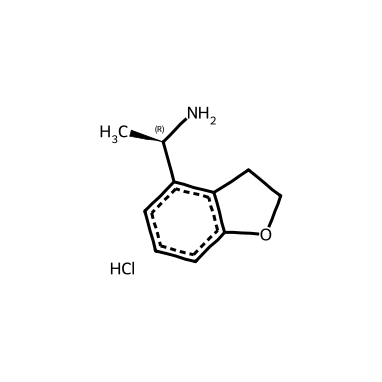 C[C@@H](N)c1cccc2c1CCO2.Cl